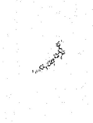 COc1ccnc(C(=O)NCC2[C@H]3CN(c4ccc(-c5cc(-c6cnn(C)c6)cn6ncc(C#N)c56)cn4)C[C@@H]23)c1